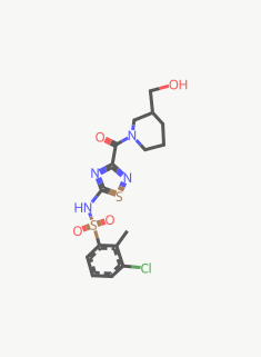 Cc1c(Cl)cccc1S(=O)(=O)Nc1nc(C(=O)N2CCCC(CO)C2)ns1